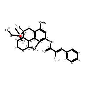 CC(=O)Oc1cc(NC(=O)C(=Cc2ccccc2)C(F)(F)F)c2c3c1C[C@@H]1[C@@H]4CCC[C@H](O2)[C@]34CC[N+]1(C)CC(C)C